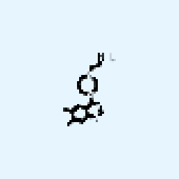 Cc1cc2ncnc(N3CCCN(CCN)CC3)c2cc1C